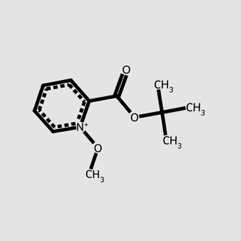 CO[n+]1ccccc1C(=O)OC(C)(C)C